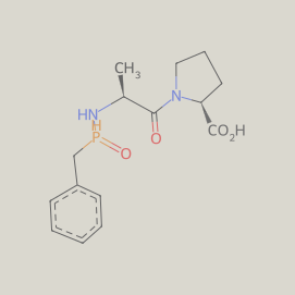 C[C@H](N[PH](=O)Cc1ccccc1)C(=O)N1CCC[C@H]1C(=O)O